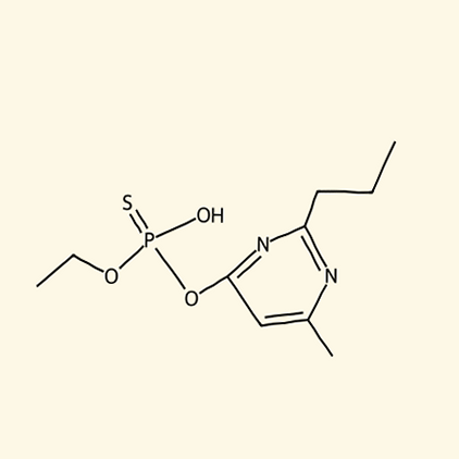 CCCc1nc(C)cc(OP(O)(=S)OCC)n1